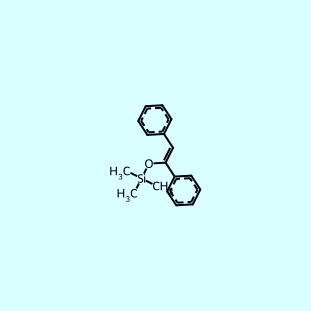 C[Si](C)(C)OC(=Cc1ccccc1)c1ccccc1